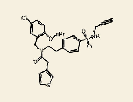 C#CCNS(=O)(=O)c1ccc(CCN(Cc2cc(Cl)ccc2OCCC)C(=O)Cc2ccsc2)cc1